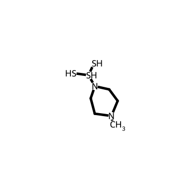 CN1CCN([SH](S)S)CC1